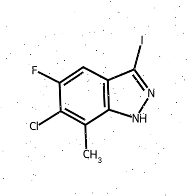 Cc1c(Cl)c(F)cc2c(I)n[nH]c12